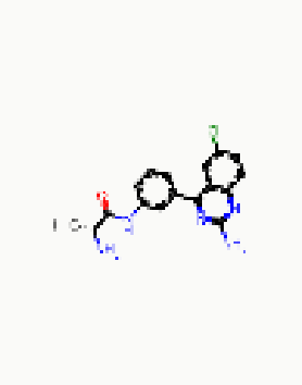 C[C@@H](N)C(=O)Nc1cccc(-c2nc(N)nc3ccc(Cl)cc23)c1